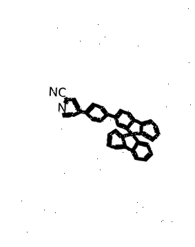 N#Cc1cc(-c2ccc(-c3ccc4c(c3)C3(c5ccccc5-c5ccccc53)c3ccccc3-4)cc2)ccn1